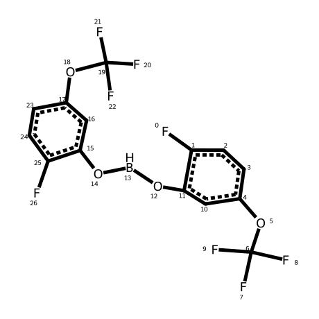 Fc1ccc(OC(F)(F)F)cc1OBOc1cc(OC(F)(F)F)ccc1F